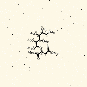 COC(=O)C[C@H](OC(OC)C(OC(C)=O)C(OC(C)=O)C(OC(C)=O)C(C)COC(C)=O)C(=O)OC